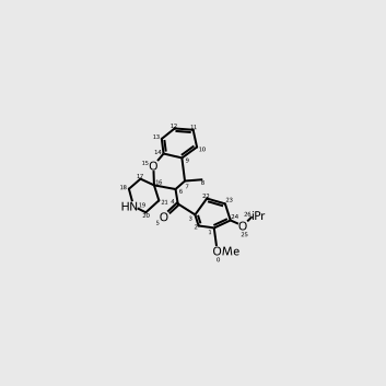 COc1cc(C(=O)C2C(C)c3ccccc3OC23CCNCC3)ccc1OC(C)C